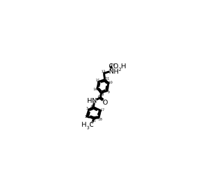 Cc1ccc(NC(=O)c2ccc(CNC(=O)O)cc2)cc1